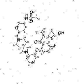 CCS(=O)(=O)N[C@@H]1CC[C@@H](CN2CCC3(CC2)CN(c2ncncc2Oc2ccc(F)cc2C(=O)N(C(C)C)[C@H]2C[C@@H](O)C2)C3)OC1